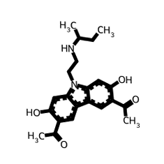 CCC(C)NCCn1c2cc(O)c(C(C)=O)cc2c2cc(C(C)=O)c(O)cc21